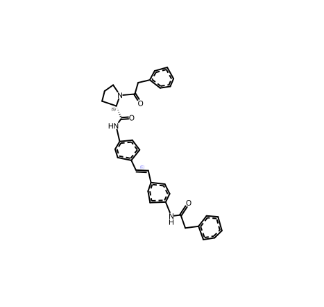 O=C(Cc1ccccc1)Nc1ccc(/C=C/c2ccc(NC(=O)[C@@H]3CCCN3C(=O)Cc3ccccc3)cc2)cc1